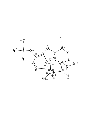 [2H]O[C@@]12CCC(=O)C3Oc4c(OC([2H])([2H])[2H])ccc5c4[C@@]31CCN(C)[C@@H]2C5([2H])[2H]